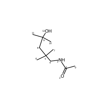 CC(=O)NCC(C)(C)CC(C)(C)O